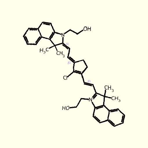 CC1(C)C(/C=C/C2=C(Cl)C(=C/C=C3/N(CCO)c4ccc5ccccc5c4C3(C)C)/CC2)=[N+](CCO)c2ccc3ccccc3c21